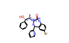 C[C@@H](N)[C@@H](O)c1ccccc1.O=C1CN=C(c2ccccn2)c2cc(Br)ccc2N1